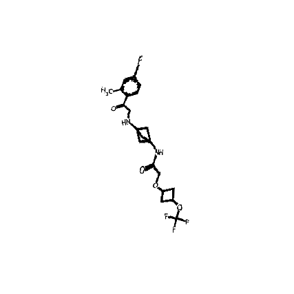 Cc1cc(F)ccc1C(=O)CNC12CC(NC(=O)COC3CC(OC(F)(F)F)C3)(C1)C2